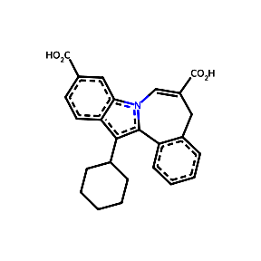 O=C(O)C1=Cn2c(c(C3CCCCC3)c3ccc(C(=O)O)cc32)-c2ccccc2C1